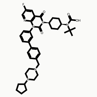 CC(C)(C)N(C(=O)O)[C@H]1CC[C@@H](n2c(=O)c3cc(F)cnc3n(-c3cccc(-c4ccc(CN5CCN(C6CCCC6)CC5)cc4)c3)c2=O)CC1